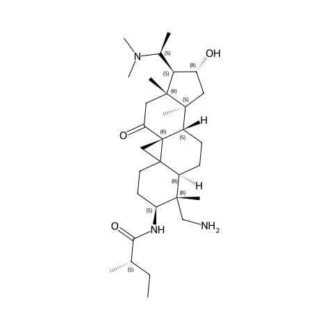 CC[C@H](C)C(=O)N[C@H]1CCC23C[C@]24C(=O)C[C@]2(C)[C@@H]([C@H](C)N(C)C)[C@H](O)C[C@@]2(C)[C@@H]4CC[C@H]3[C@]1(C)CN